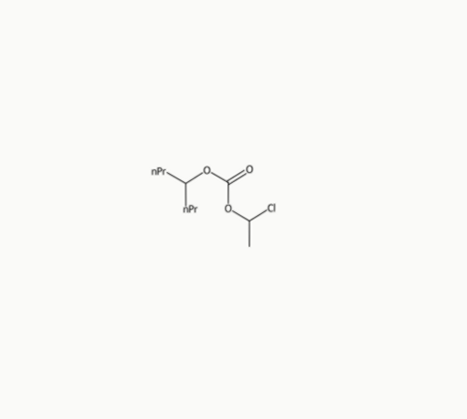 CCCC(CCC)OC(=O)OC(C)Cl